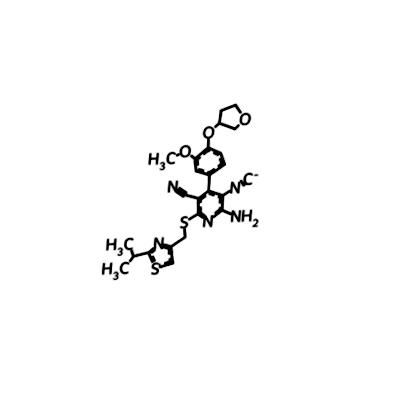 [C-]#[N+]c1c(N)nc(SCc2csc(C(C)C)n2)c(C#N)c1-c1ccc(OC2CCOC2)c(OC)c1